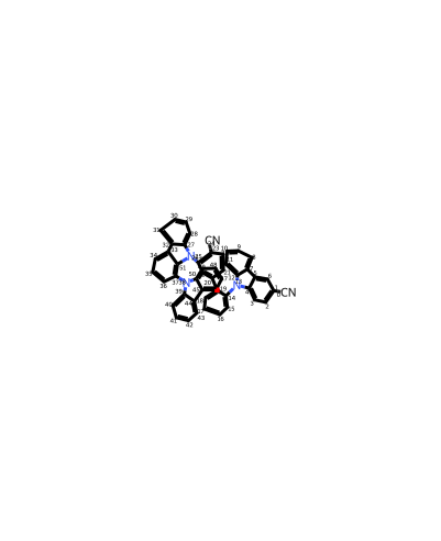 N#Cc1ccc2c(c1)c1ccccc1n2-c1ccccc1-c1ccc(C#N)c(-n2c3ccccc3c3cccc(-n4c5ccccc5c5ccccc54)c32)c1